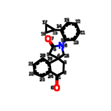 O=C1CCC2(CC(=O)N(c3ccccc3C3CC3)C2)c2ccccc21